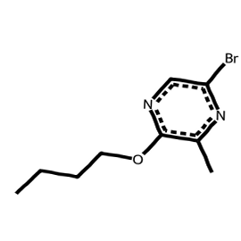 CCCCOc1ncc(Br)nc1C